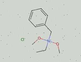 CC[N+](Cc1ccccc1)(OC)OC.[Cl-]